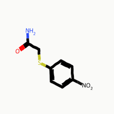 NC(=O)CSc1ccc([N+](=O)[O-])cc1